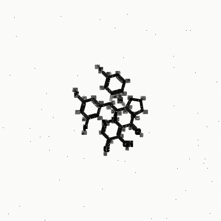 O=C1c2c(O)c(=O)cnn2[C@@H]([C@@H](c2cccc(F)c2)c2cc(F)cc(F)c2)[C@H]2CCCN12